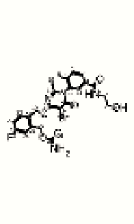 Cc1ccc(C(=O)NCCO)cc1-n1c(C)nc(OCc2ccc(F)cc2COC(N)=O)c(Br)c1=O